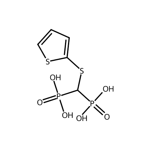 O=P(O)(O)C(Sc1cccs1)P(=O)(O)O